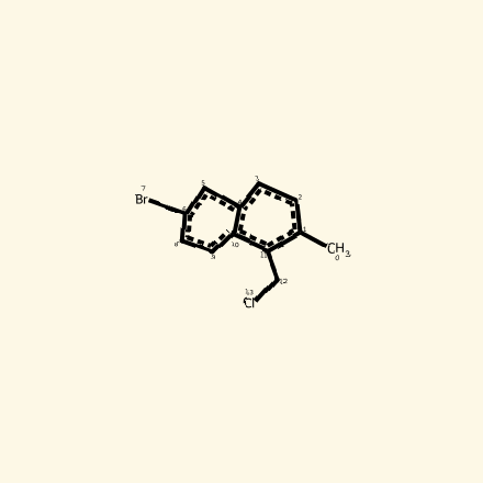 Cc1ccc2cc(Br)ccc2c1CCl